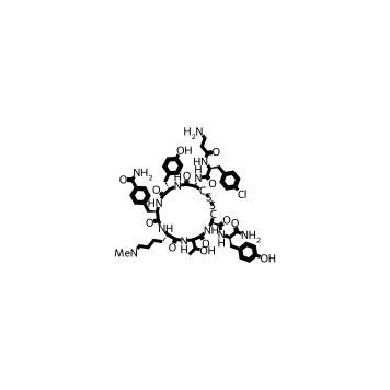 CNCCCC[C@@H]1NC(=O)[C@@H](Cc2ccc(C(N)=O)cc2)NC(=O)[C@H](Cc2ccc(O)cc2)NC(=O)[C@H](NC(=O)[C@H](Cc2ccc(Cl)cc2)NC(=O)CCN)CSSC[C@@H](C(=O)N[C@H](Cc2ccc(O)cc2)C(N)=O)NC(=O)C(C(C)O)NC1=O